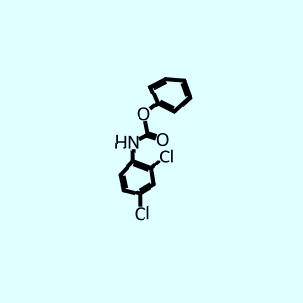 O=C(Nc1ccc(Cl)cc1Cl)Oc1ccccc1